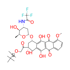 COc1cccc2c1C(=O)c1c(O)c3c(c(O)c1C2=O)C[C@@](O)(C(=O)CO[Si](C)(C)C(C)(C)C)C[C@@H]3O[C@H]1C[C@@H](NC(=O)C(F)(F)F)[C@H](O)[C@H](C)O1